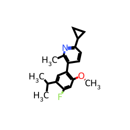 COc1cc(F)c(C(C)C)cc1-c1ccc(C2CC2)nc1C